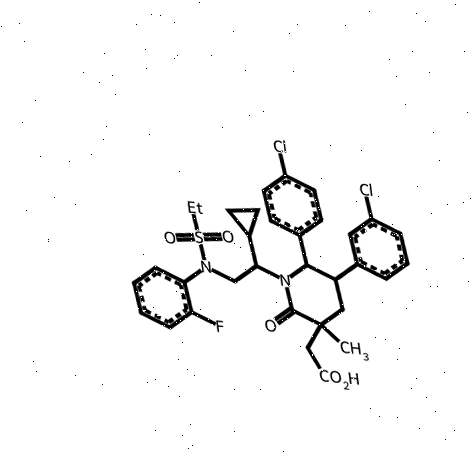 CCS(=O)(=O)N(CC(C1CC1)N1C(=O)C(C)(CC(=O)O)CC(c2cccc(Cl)c2)C1c1ccc(Cl)cc1)c1ccccc1F